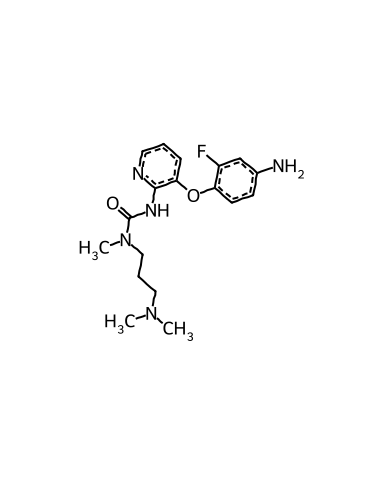 CN(C)CCCN(C)C(=O)Nc1ncccc1Oc1ccc(N)cc1F